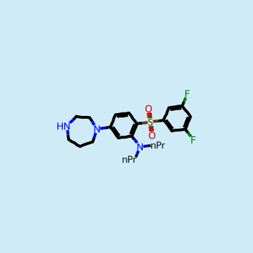 CCCN(CCC)c1cc(N2CCCNCC2)ccc1S(=O)(=O)c1cc(F)cc(F)c1